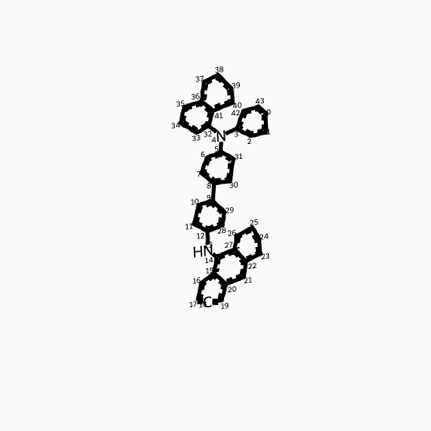 c1ccc(N(c2ccc(-c3ccc(Nc4c5ccccc5cc5ccccc45)cc3)cc2)c2cccc3ccccc23)cc1